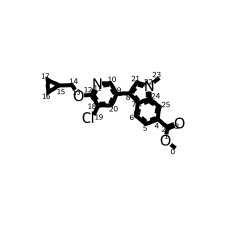 COC(=O)c1ccc2c(-c3cnc(OCC4CC4)c(Cl)c3)cn(C)c2c1